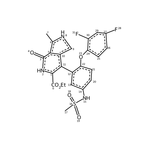 CCOC(=O)c1[nH]c(=O)c2c(C)[nH]cc2c1-c1cc(NS(C)(=O)=O)ccc1Oc1ccc(F)cc1F